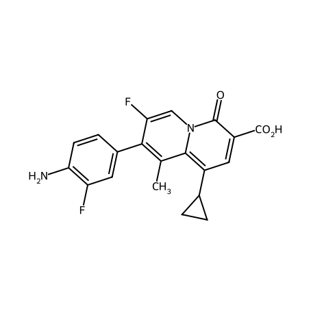 Cc1c(-c2ccc(N)c(F)c2)c(F)cn2c(=O)c(C(=O)O)cc(C3CC3)c12